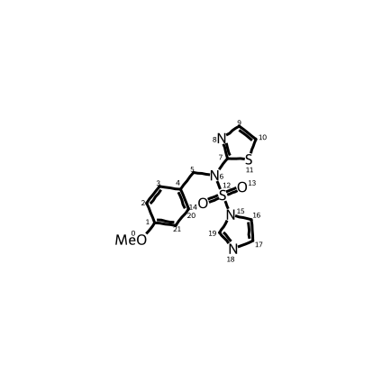 COc1ccc(CN(c2nccs2)S(=O)(=O)n2ccnc2)cc1